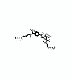 CCCCN1C(=NC(=O)c2ccc(C(=N)NCCCC(=O)O)cc2)SC(C(=O)NCCC(=O)O)C1C